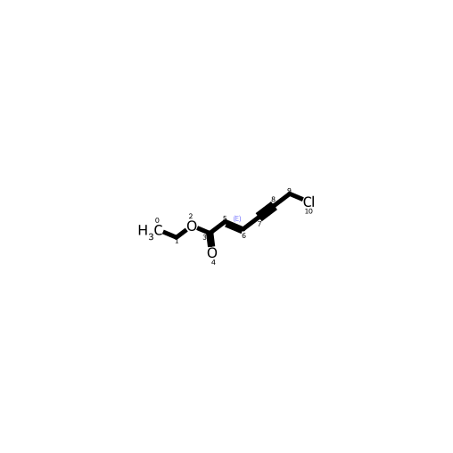 CCOC(=O)/C=C/C#CCCl